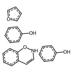 C1=Cc2ccccc2ON1.Oc1ccccc1.Oc1ccccc1.c1ccoc1